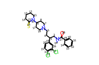 CN(CC(CCN1CCC(N2CCCCC2=S)CC1)c1ccc(Cl)c(Cl)c1)C(=O)c1ccccc1